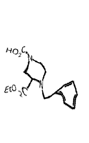 CCOC(=O)C1CN(C(=O)O)CCN1Cc1ccccc1